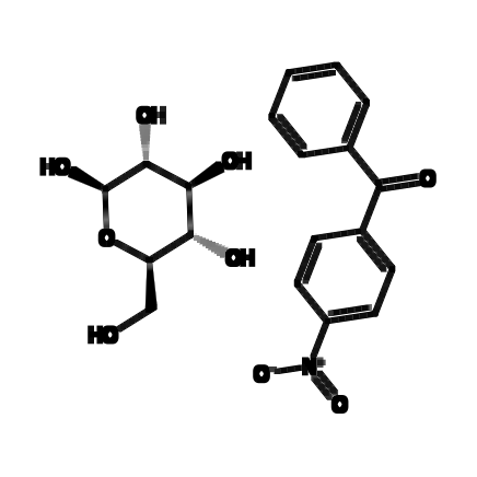 O=C(c1ccccc1)c1ccc([N+](=O)[O-])cc1.OC[C@H]1O[C@@H](O)[C@H](O)[C@@H](O)[C@@H]1O